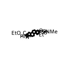 CCOC(=O)c1[nH]nc2c1CC1C3CCc4cc(OSOONC)c(CC)cc4C3CC[C@]21C